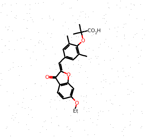 CCOc1ccc2c(c1)OC(=Cc1cc(C)c(OC(C)(C)C(=O)O)c(C)c1)C2=O